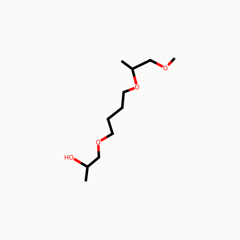 COCC(C)OCCCCOCC(C)O